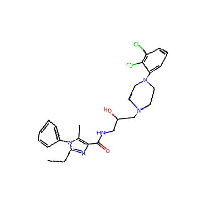 CCc1nc(C(=O)NCC(O)CN2CCN(c3cccc(Cl)c3Cl)CC2)c(C)n1-c1ccccc1